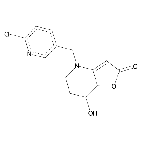 O=C1C=C2C(O1)C(O)CCN2Cc1ccc(Cl)nc1